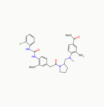 COC(=O)c1ccc(N(C)CC2CCCN2C(=O)Cc2ccc(NC(=O)Nc3ccccc3F)c(OC)c2)c([N+](=O)[O-])c1